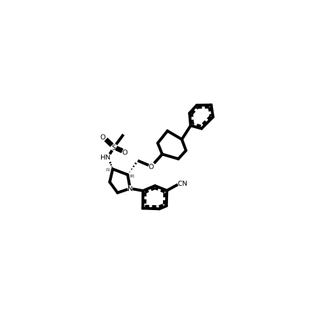 CS(=O)(=O)N[C@H]1CCN(c2cccc(C#N)c2)[C@H]1COC1CCC(c2ccccc2)CC1